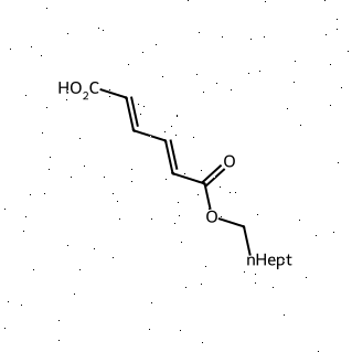 CCCCCCCCOC(=O)/C=C/C=C/C(=O)O